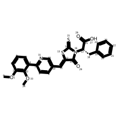 COc1cccc(-c2ccc(/C=C3\SC(=S)N([C@@H](Cc4ccccc4)C(=O)O)C3=O)cn2)c1OC